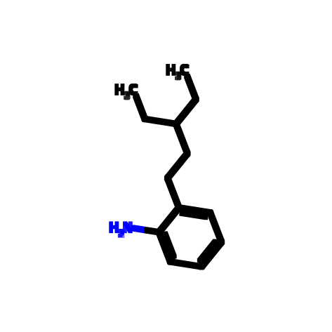 CCC(CC)CCc1ccccc1N